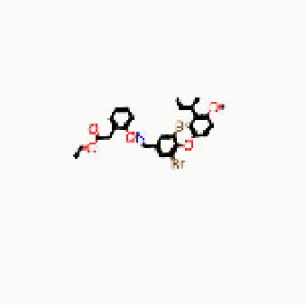 CCOC(=O)Cc1ccccc1ON=Cc1cc(Br)c(Oc2ccc(OC)c(C(C)CC)c2)c(Br)c1